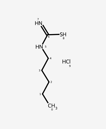 CCCCCNC(=N)S.Cl